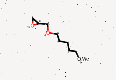 COCCCCCOCC1CO1